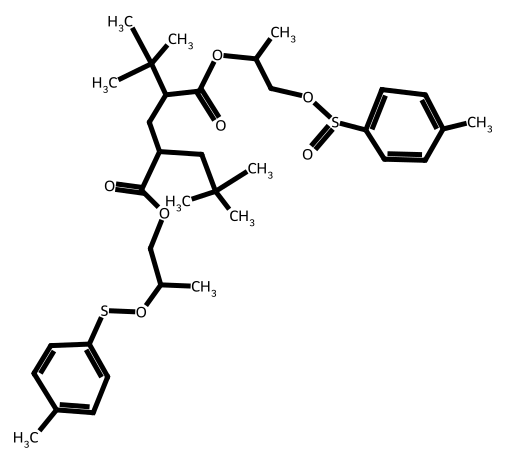 Cc1ccc(SOC(C)COC(=O)C(CC(C(=O)OC(C)COS(=O)c2ccc(C)cc2)C(C)(C)C)CC(C)(C)C)cc1